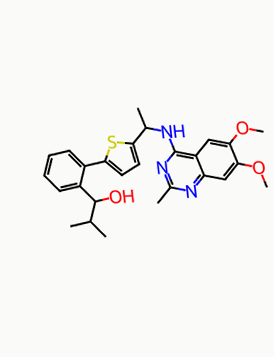 COc1cc2nc(C)nc(NC(C)c3ccc(-c4ccccc4C(O)C(C)C)s3)c2cc1OC